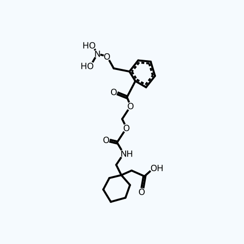 O=C(O)CC1(CNC(=O)OCOC(=O)c2ccccc2CON(O)O)CCCCC1